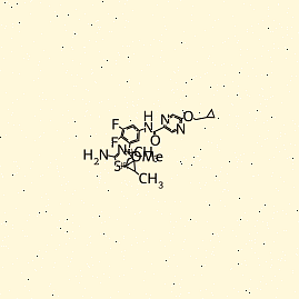 COC[C@@]12SC(N)=N[C@](C)(c3cc(NC(=O)c4cnc(OCC5CC5)cn4)cc(F)c3F)C1C2C